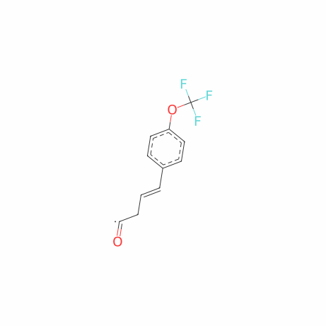 O=[C]C/C=C/c1ccc(OC(F)(F)F)cc1